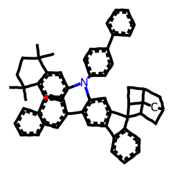 CC1(C)CCC(C)(C)c2cc(N(c3ccc(-c4ccccc4)cc3)c3cc4c(cc3-c3ccc5ccccc5c3)-c3ccccc3C43C4CC5CC6CC3C64C5)ccc21